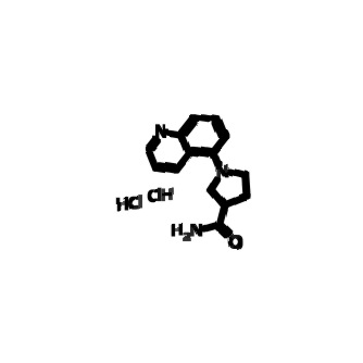 Cl.Cl.NC(=O)C1CCN(c2cccc3ncccc23)C1